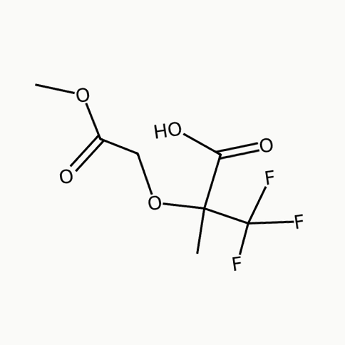 COC(=O)COC(C)(C(=O)O)C(F)(F)F